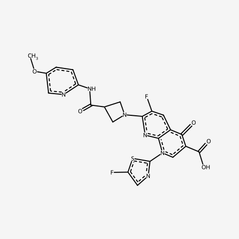 COc1ccc(NC(=O)C2CN(c3nc4c(cc3F)c(=O)c(C(=O)O)cn4-c3ncc(F)s3)C2)nc1